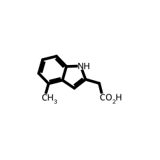 Cc1cccc2[nH]c(CC(=O)O)cc12